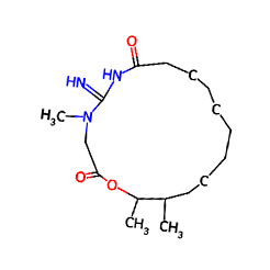 CC1CCCCCCCCC(=O)NC(=N)N(C)CC(=O)OC1C